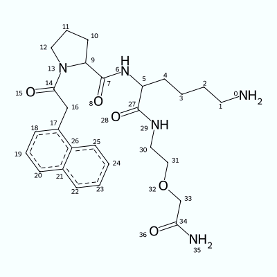 NCCCCC(NC(=O)C1CCCN1C(=O)Cc1cccc2ccccc12)C(=O)NCCOCC(N)=O